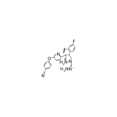 N#Cc1ccc(Oc2ccc(C(F)(F)C(CN(N)/C=N\N)c3ccc(F)cc3F)nc2)cc1